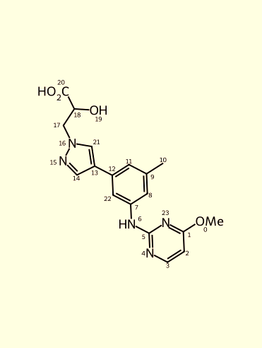 COc1ccnc(Nc2cc(C)cc(-c3cnn(CC(O)C(=O)O)c3)c2)n1